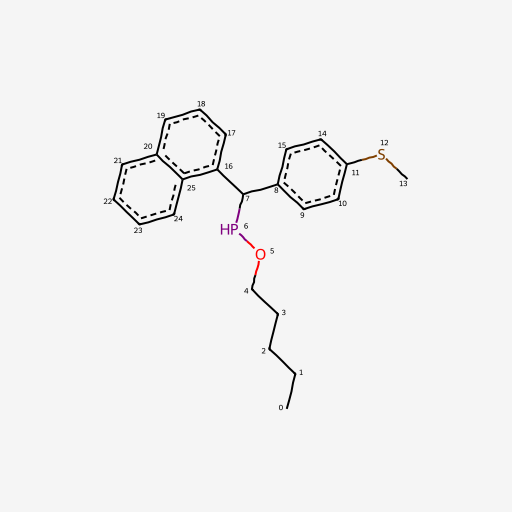 CCCCCOPC(c1ccc(SC)cc1)c1cccc2ccccc12